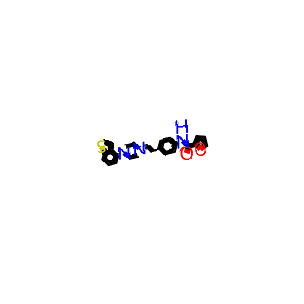 O=C(N[C@H]1CC[C@H](CCN2CCN(c3cccc4sccc34)CC2)CC1)c1ccco1